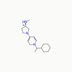 CN[C@@H]1CCN(C2=CCN(C(C)C3CCCCC3)C=C2)C1